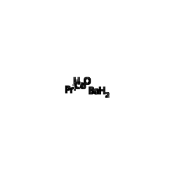 O.[BaH2].[Co].[Pr]